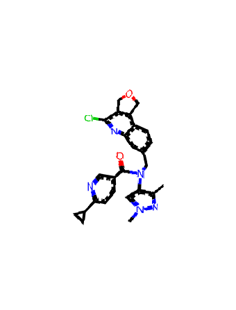 Cc1nn(C)cc1N(Cc1ccc2c3c(c(Cl)nc2c1)COC3)C(=O)c1ccc(C2CC2)nc1